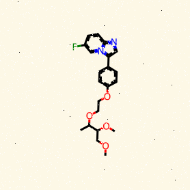 COCC(OC)C(C)OCCOc1ccc(-c2cnc3ccc(F)cn23)cc1